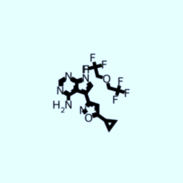 FC(F)(F)COCC(F)(F)F.Nc1ncnc2[nH]cc(-c3cc(C4CC4)on3)c12